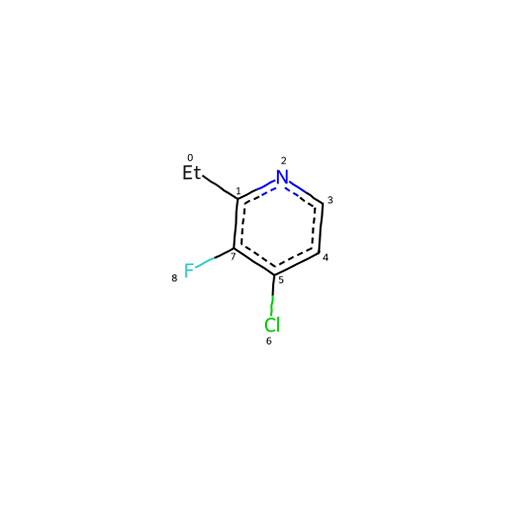 CCc1nccc(Cl)c1F